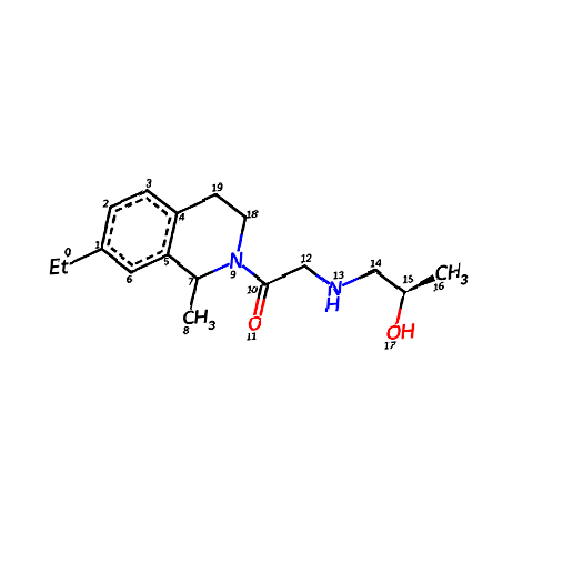 CCc1ccc2c(c1)C(C)N(C(=O)CNC[C@@H](C)O)CC2